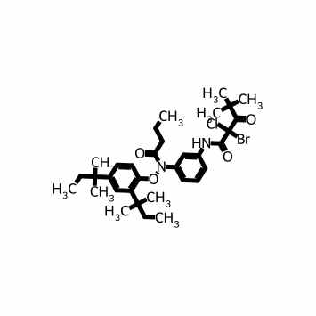 CCCC(=O)N(Oc1ccc(C(C)(C)CC)cc1C(C)(C)CC)c1cccc(NC(=O)C(Cl)(Br)C(=O)C(C)(C)C)c1